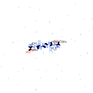 CCCCc1nn(-c2cnc(-n3nc(CCCC)c(/N=N/c4c(C(=O)OC)cnn4C)c3N)cn2)c(N)c1/N=N/c1c(C(=O)CO)cnn1C